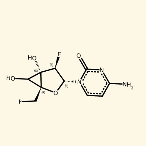 Nc1ccn([C@@H]2O[C@]3(CF)C(O)[C@@]3(O)[C@H]2F)c(=O)n1